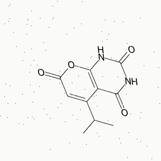 CC(C)c1cc(=O)oc2[nH]c(=O)[nH]c(=O)c12